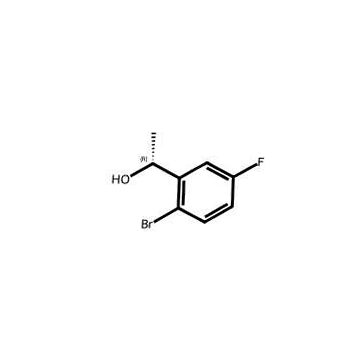 C[C@@H](O)c1cc(F)ccc1Br